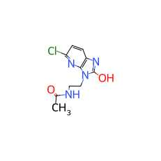 CC(=O)NCCn1c(O)nc2ccc(Cl)nc21